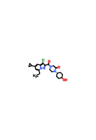 CCc1cc(C2CC2)cc2c(Cl)c(C(=O)N3CCN([C@H]4CC[C@H](O)CC4)C(=O)C3)nn12